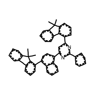 CC1(C)c2ccccc2-c2c(-c3cc(-c4ccc(-c5cccc6c5C(C)(C)c5ccccc5-6)c5ccccc45)nc(-c4ccccc4)n3)cccc21